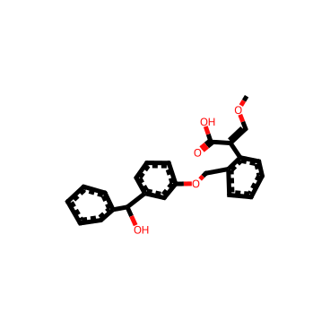 COC=C(C(=O)O)c1ccccc1COc1cccc(C(O)c2ccccc2)c1